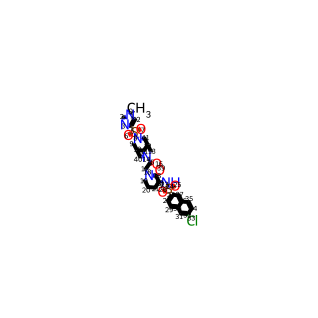 Cn1cnc(S(=O)(=O)N2CC3CC(CN(C(=O)CN4CCC[C@H](NS(=O)(=O)c5ccc6cc(Cl)ccc6c5)C4=O)C3)C2)c1